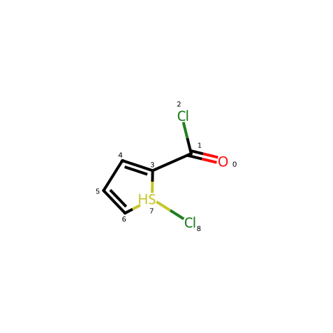 O=C(Cl)C1=CC=C[SH]1Cl